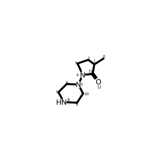 CC1CCN(N2CCNCC2)C1=O